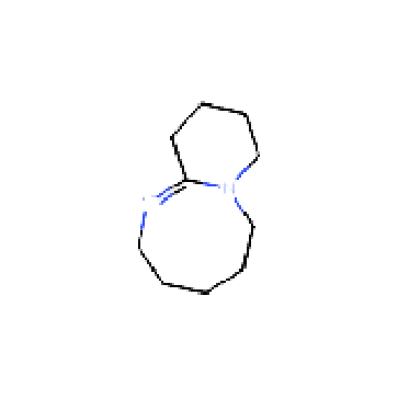 C1CC/N=C2/CCCCN2CC1